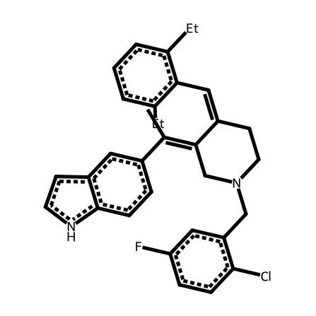 CCc1cccc(CC)c1/C=C1/CCN(Cc2cc(F)ccc2Cl)C/C1=C(/C)c1ccc2[nH]ccc2c1